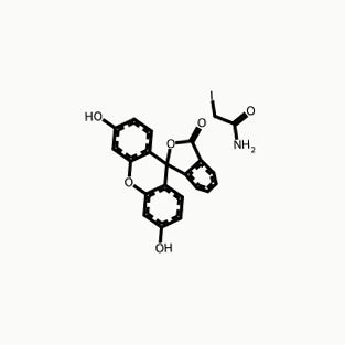 NC(=O)CI.O=C1OC2(c3ccc(O)cc3Oc3cc(O)ccc32)c2ccccc21